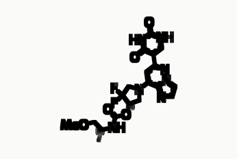 COC[C@@H](C)NC(=O)O[C@H]1CN(c2cc(-c3c[nH]c(=O)[nH]c3=O)nn3ccnc23)CC1(F)F